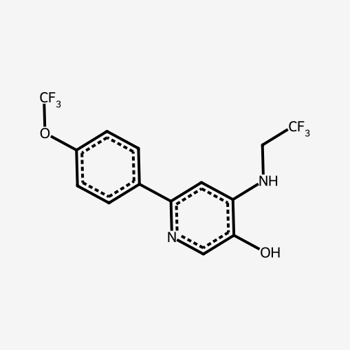 Oc1cnc(-c2ccc(OC(F)(F)F)cc2)cc1NCC(F)(F)F